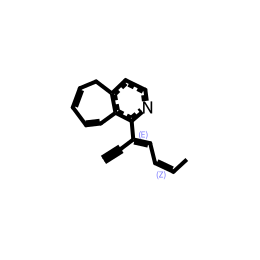 C#C/C(=C\C=C/C)c1nccc2c1C=CC=CC2